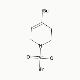 CC(C)S(=O)(=O)N1CC=C(C(C)(C)C)CC1